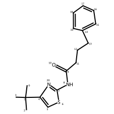 CC(C)(C)c1csc(NC(=O)CCCc2ccccc2)n1